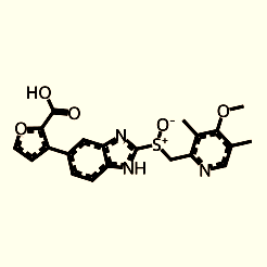 COc1c(C)cnc(C[S+]([O-])c2nc3cc(-c4ccoc4C(=O)O)ccc3[nH]2)c1C